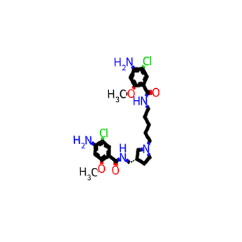 COc1cc(N)c(Cl)cc1C(=O)NCCCCCN1CC[C@H](CNC(=O)c2cc(Cl)c(N)cc2OC)C1